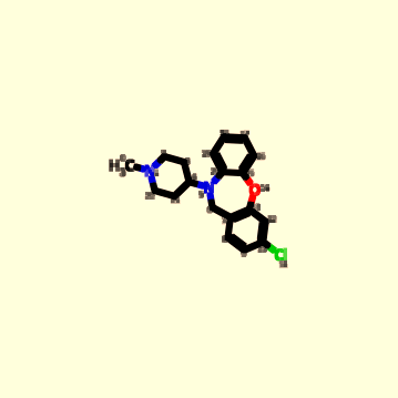 CN1CCC(N2Cc3ccc(Cl)cc3Oc3ccccc32)CC1